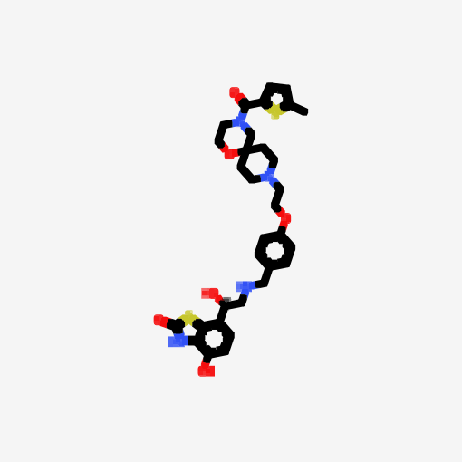 Cc1ccc(C(=O)N2CCOC3(CCN(CCOc4ccc(CNC[C@H](O)c5ccc(O)c6[nH]c(=O)sc56)cc4)CC3)C2)s1